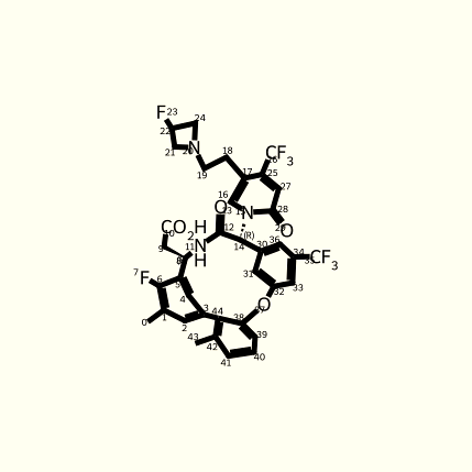 Cc1cc2cc(c1F)[C@@H](CC(=O)O)NC(=O)[C@H](n1cc(CCN3CC(F)C3)c(C(F)(F)F)cc1=O)c1cc(cc(C(F)(F)F)c1)Oc1cccc(C)c1-2